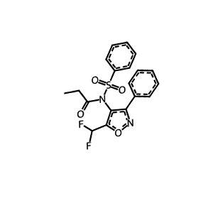 CCC(=O)N(c1c(-c2ccccc2)noc1C(F)F)S(=O)(=O)c1ccccc1